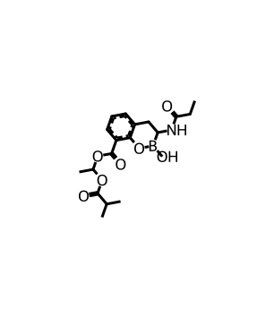 CCC(=O)NC1Cc2cccc(C(=O)OC(C)OC(=O)C(C)C)c2OB1O